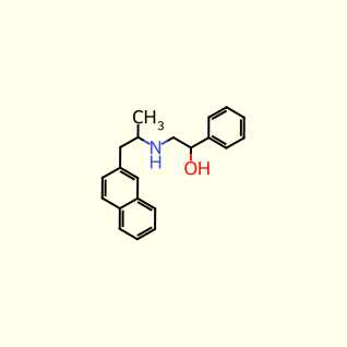 CC(Cc1ccc2ccccc2c1)NCC(O)c1ccccc1